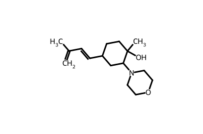 C=C(C)C=CC1CCC(C)(O)C(N2CCOCC2)C1